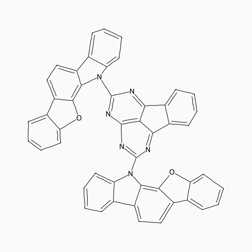 c1ccc2c(c1)-c1nc(-n3c4ccccc4c4ccc5c6ccccc6oc5c43)nc3nc(-n4c5ccccc5c5ccc6c7ccccc7oc6c54)nc-2c13